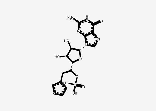 Nc1nc2c(ncn2[C@@H]2O[C@H](C(Cc3ccsc3)OP(=O)(O)O)[C@@H](O)[C@H]2O)c(=O)[nH]1